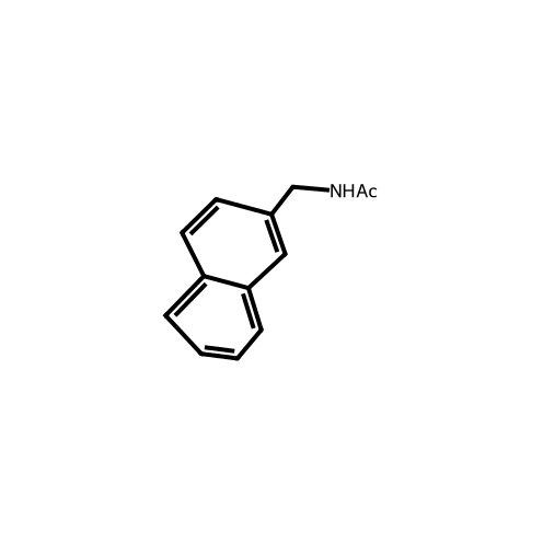 CC(=O)NCc1ccc2ccccc2c1